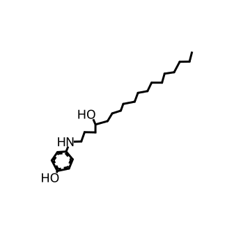 CCCCCCCCCCCCCCC(O)CCCNc1ccc(O)cc1